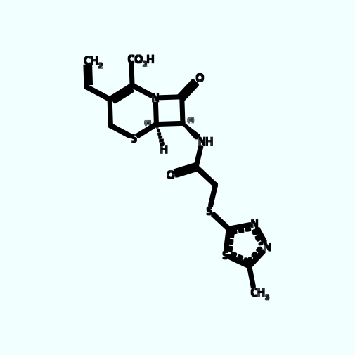 C=CC1=C(C(=O)O)N2C(=O)[C@@H](NC(=O)CSc3nnc(C)s3)[C@H]2SC1